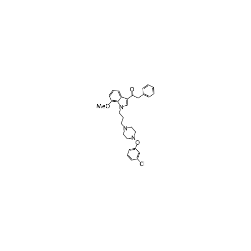 COc1cccc2c(C(=O)Cc3ccccc3)cn(CCCN3CCN(Oc4cccc(Cl)c4)CC3)c12